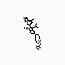 Cc1cc(-c2[nH]c3ccc(C4CCN(Cc5ncn(C)n5)CC4)cc3c2C(C)C)cn2nncc12